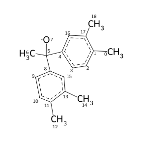 Cc1ccc(C(C)([O])c2ccc(C)c(C)c2)cc1C